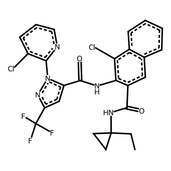 CCC1(NC(=O)c2cc3ccccc3c(Cl)c2NC(=O)c2cc(C(F)(F)F)nn2-c2ncccc2Cl)CC1